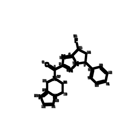 O=C(c1nc2n(n1)C(c1ccccc1)CC2F)N1CCn2ccnc2C1